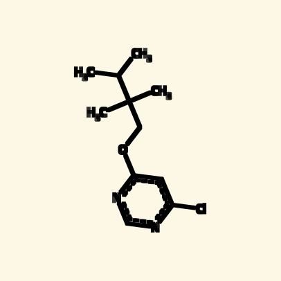 CC(C)C(C)(C)COc1cc(Cl)ncn1